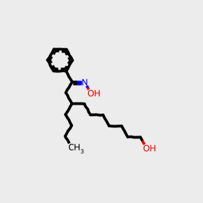 CCCCC(CCCCCCCO)CC(=NO)c1ccccc1